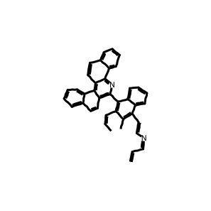 C=C/C=N\C=C\c1c(C)c(/C=C\C)c(-c2nc3c4ccccc4ccc3c3c2ccc2ccccc23)c2ccccc12